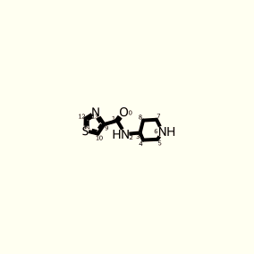 O=C(NC1CCNCC1)c1cscn1